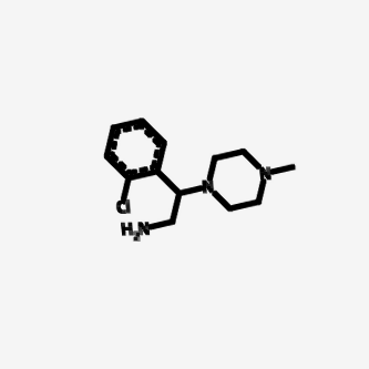 CN1CCN(C(CN)c2ccccc2Cl)CC1